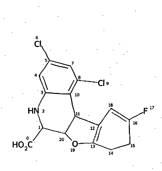 O=C(O)C1Nc2cc(Cl)cc(Cl)c2C2C3=C(CCC(F)=C3)OC12